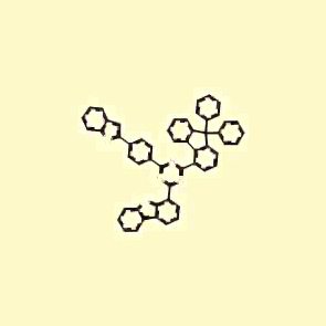 c1ccc(C2(c3ccccc3)c3ccccc3-c3c(-c4nc(-c5ccc(-c6cc7ccccc7o6)cc5)nc(-c5cccc6c5oc5ccccc56)n4)cccc32)cc1